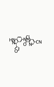 N#Cc1cnc(C(=O)Nc2ccc3[nH]nc(-c4ccoc4)c3c2)c(Cl)c1